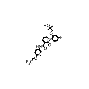 CC(C)(O)COc1cc(F)ccc1-n1cccc(C(=O)Nc2ccc(OCC(F)(F)F)nc2)c1=O